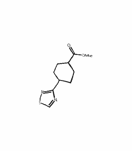 COC(=O)C1CCC(c2ncsn2)CC1